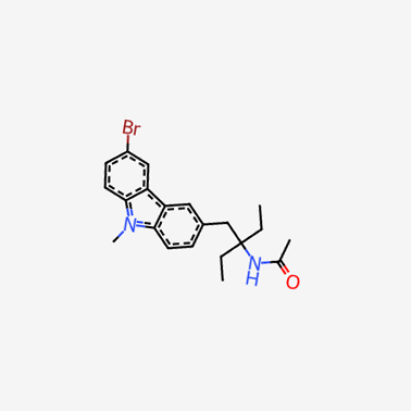 CCC(CC)(Cc1ccc2c(c1)c1cc(Br)ccc1n2C)NC(C)=O